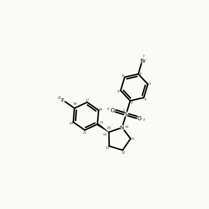 O=S(=O)(c1ccc(Br)cc1)N1CCC[C@H]1c1ccc(F)cc1